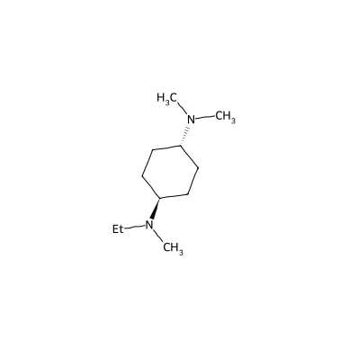 CCN(C)[C@H]1CC[C@H](N(C)C)CC1